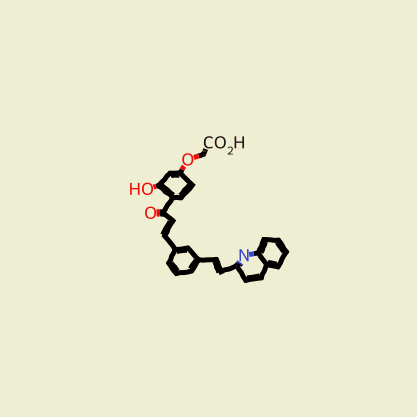 O=C(O)COc1ccc(C(=O)C=Cc2cccc(C=Cc3ccc4ccccc4n3)c2)c(O)c1